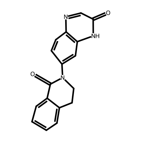 O=C1c2ccccc2CCN1c1ccc2ncc(=O)[nH]c2c1